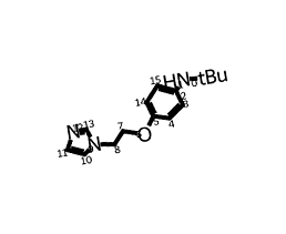 CC(C)(C)Nc1ccc(OCCn2ccnc2)cc1